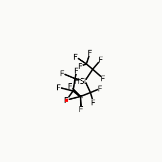 FC(F)(F)C(F)(F)[SiH](C(F)(F)C(F)(F)F)C(F)(F)C(F)(F)F